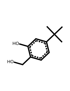 CC(C)(C)c1ccc(CO)c(O)c1